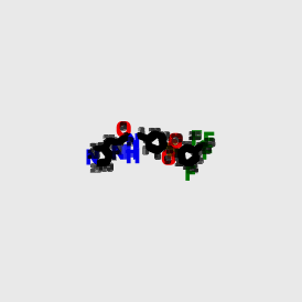 O=C(NCc1ccc(S(=O)(=O)c2cc(F)cc(C(F)(F)F)c2)cc1)C1Cc2cnccc2N1